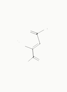 O=C(O)C=C(Cl)C(=O)O.[NaH]